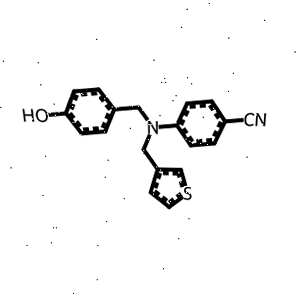 N#Cc1ccc(N(Cc2ccc(O)cc2)Cc2ccsc2)cc1